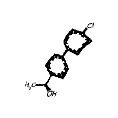 CC(O)c1ccc(-c2ccc(Cl)cc2)cc1